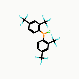 FC(F)(F)c1ccc(P(Cl)c2ccc(C(F)(F)F)cc2C(F)(F)F)c(C(F)(F)F)c1